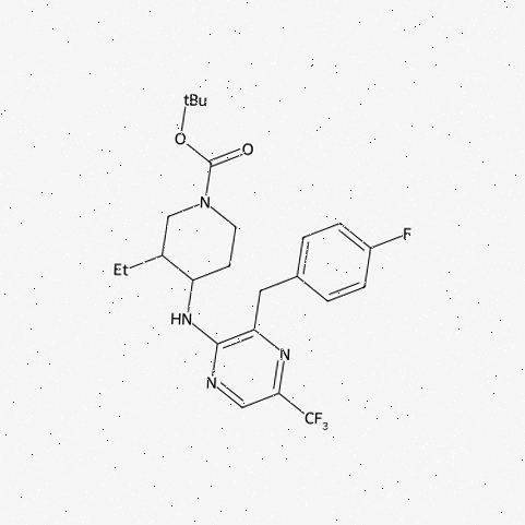 CCC1CN(C(=O)OC(C)(C)C)CCC1Nc1ncc(C(F)(F)F)nc1Cc1ccc(F)cc1